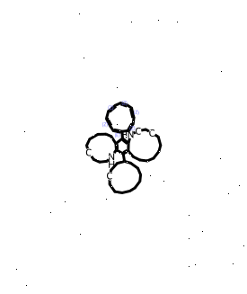 C1=C\C=C/C=C\C(c2c3c(c(C4CCCCCCCCCCCC4)c4c2NCCCCCCCCCC4)NCCCCCCCCC3)=C/C=C\C=C/1